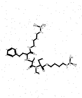 CCC(C(=O)OCCCCON(O)O)N(CC)C(=O)C(C)NC(CCc1ccccc1)C(=O)OCCCCON(O)O